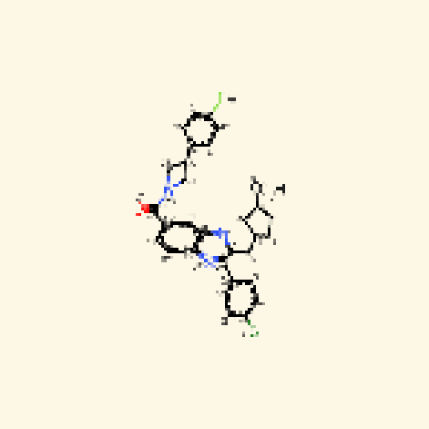 O=C(O)C1CCC(Cc2nc3cc(C(=O)N4CC(c5ccc(F)cc5)C4)ccc3nc2-c2ccc(Cl)cc2)C1